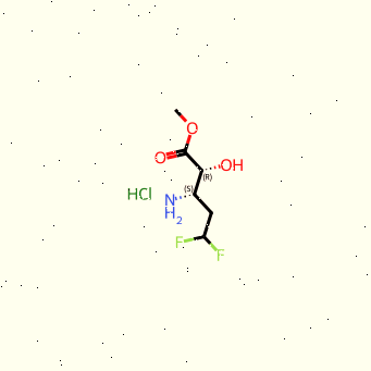 COC(=O)[C@H](O)[C@@H](N)CC(F)F.Cl